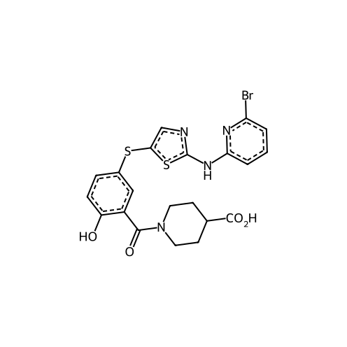 O=C(O)C1CCN(C(=O)c2cc(Sc3cnc(Nc4cccc(Br)n4)s3)ccc2O)CC1